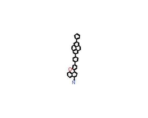 N#Cc1ccc2c3c(cccc13)Oc1cc(-c3ccc(-c4cc5ccc6cc(-c7ccccc7)cc7ccc(c4)c5c67)cc3)ccc1-2